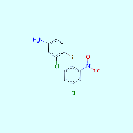 Nc1ccc(Sc2ccc(Cl)cc2[N+](=O)[O-])c(Cl)c1